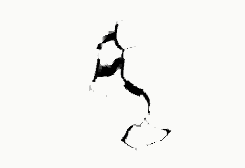 Nc1ncc(Br)c(Cl)c1C#CCN1CCOCC1